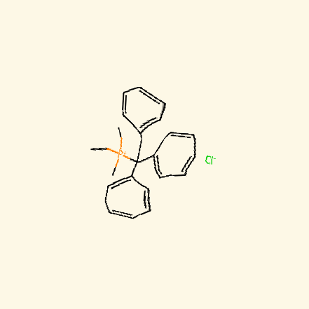 C[P+](C)(C)C(c1ccccc1)(c1ccccc1)c1ccccc1.[Cl-]